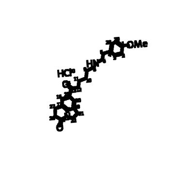 COc1ccc(CCNCCCCCC(=O)c2cc3c4c(c2)CCN4C(=O)CC3)cc1.Cl